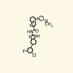 CO[C@H]1CCN(c2cccc3nc(C(=O)Nc4nc5cc(-c6cc(F)cc(Cl)c6)ccc5[nH]4)cn23)C1